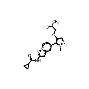 Cn1ncc(OC[C@@H](O)C(F)(F)F)c1-c1ccn2nc(NC(=O)C3CC3)cc2c1